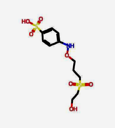 O=S(=O)(CCO)CCCONc1ccc(S(=O)(=O)O)cc1